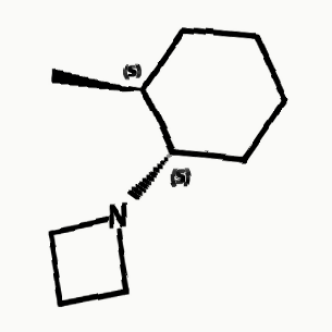 C[C@H]1CCCC[C@@H]1N1CCC1